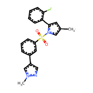 [CH2]c1cc(-c2ccccc2F)n(S(=O)(=O)c2cccc(-c3cnn(C)c3)c2)c1